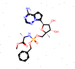 COC(=O)[C@H](C)NP(=O)(OCc1ccccc1)OC[C@@]1(C)O[C@@H](c2ccc3c(N)ncnn23)[C@H](O)[C@@H]1O